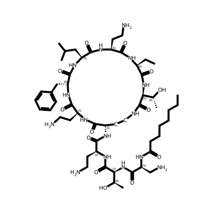 CCCCCCCC(=O)N[C@@H](CN)C(=O)N[C@H](C(=O)N[C@@H](CCN)C(=O)N[C@H]1CCNC(=O)[C@H]([C@@H](C)O)NC(=O)[C@H](CC)NC(=O)[C@H](CCN)NC(=O)[C@H](CC(C)C)NC(=O)[C@@H](Cc2ccccc2)NC(=O)[C@H](CCN)NC1=O)[C@@H](C)O